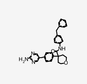 Nc1ncc(-c2ccc(C3(C(=O)Nc4ccc(Cc5ccccc5)cc4)CCOCC3)cc2)cn1